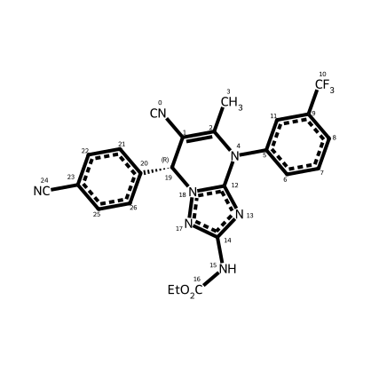 [C-]#[N+]C1=C(C)N(c2cccc(C(F)(F)F)c2)c2nc(NC(=O)OCC)nn2[C@@H]1c1ccc(C#N)cc1